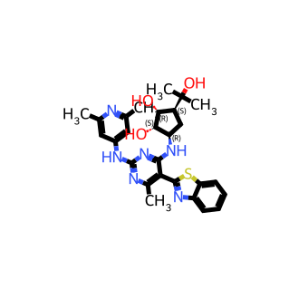 Cc1cc(Nc2nc(C)c(-c3nc4ccccc4s3)c(N[C@@H]3C[C@H](C(C)(C)O)[C@@H](O)[C@H]3O)n2)cc(C)n1